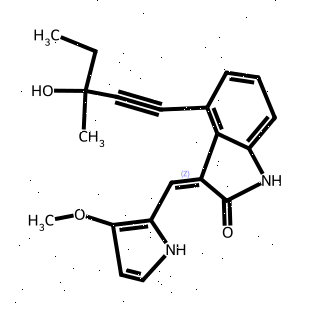 CCC(C)(O)C#Cc1cccc2c1/C(=C/c1[nH]ccc1OC)C(=O)N2